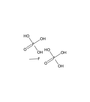 CF.O=P(O)(O)O.O=P(O)(O)O